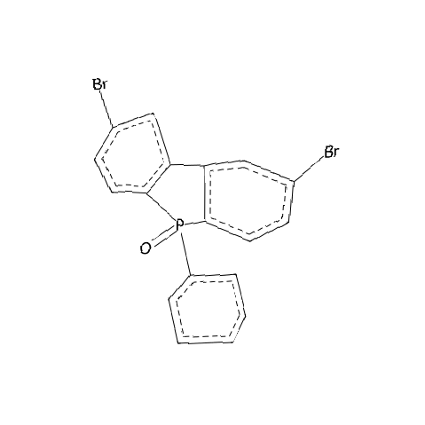 O=P1(c2ccccc2)c2ccc(Br)cc2-c2cc(Br)ccc21